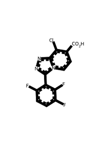 O=C(O)c1ccn2c(-c3c(F)ccc(F)c3F)nnc2c1Cl